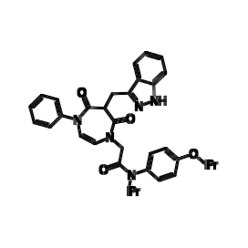 CC(C)Oc1ccc(N(C(=O)CN2C=CN(c3ccccc3)C(=O)C(Cc3n[nH]c4ccccc34)C2=O)C(C)C)cc1